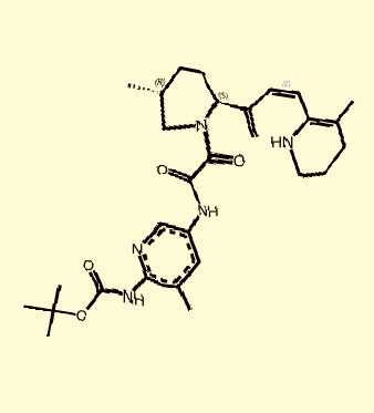 C=C(/C=C\C1=C(C)CCCN1)[C@@H]1CC[C@@H](C)CN1C(=O)C(=O)Nc1cnc(NC(=O)OC(C)(C)C)c(C)c1